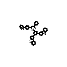 c1ccc(-c2cc(-c3ccc(-c4ccccn4)cc3)nc(-c3cc(-c4ccc5sc6ccccc6c5c4)cc(-c4ccc5sc6ccccc6c5c4)c3)n2)cc1